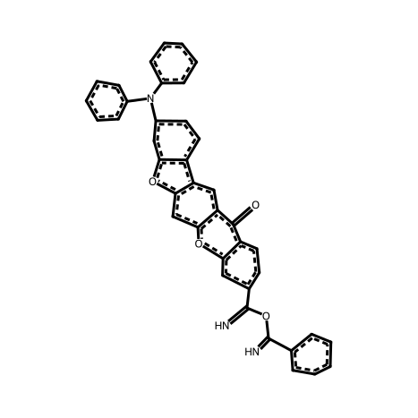 N=C(OC(=N)c1ccc2c(=O)c3cc4c(cc3oc2c1)oc1cc(N(c2ccccc2)c2ccccc2)ccc14)c1ccccc1